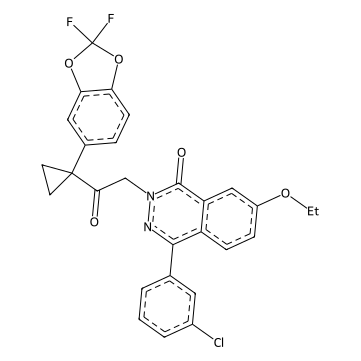 CCOc1ccc2c(-c3cccc(Cl)c3)nn(CC(=O)C3(c4ccc5c(c4)OC(F)(F)O5)CC3)c(=O)c2c1